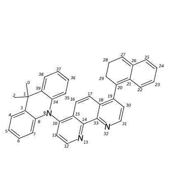 CC1(C)c2ccccc2N(c2ccnc3c2ccc2c(C4=c5ccccc5=CCC4)ccnc23)c2ccccc21